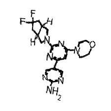 Nc1ncc(-c2cc(N3CCOCC3)nc(N3C[C@@H]4CC(F)(F)C[C@@H]4C3)n2)cn1